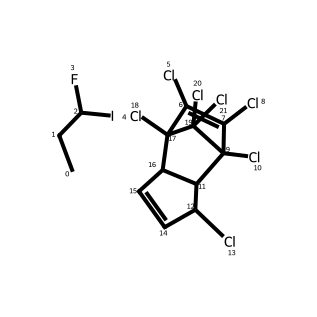 CCC(F)I.ClC1=C(Cl)C2(Cl)C3C(Cl)C=CC3C1(Cl)C2(Cl)Cl